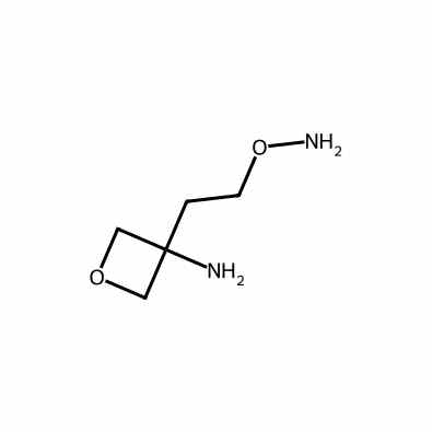 NOCCC1(N)COC1